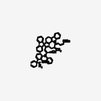 C#C/C(=C\C1=C(CC(=C)/C=C\C=C/OC)C2=C(CCc3c2oc2ccccc32)C12c1ccccc1-c1ccccc12)N(c1ccccc1)c1cccc(C2(C)C=CC=CC2)c1OC